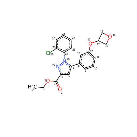 CCOC(=O)c1cc(-c2cccc(OC3COC3)c2)n(-c2ccccc2Cl)n1